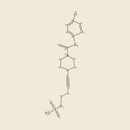 CS(=O)(=O)OCCC#CC1CCN(C(=O)Oc2ccc(Cl)cc2)CC1